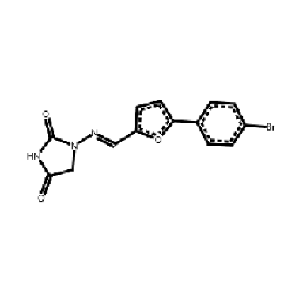 O=C1CN(N=Cc2ccc(-c3ccc(Br)cc3)o2)C(=O)N1